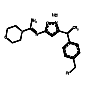 CC(C)Cc1ccc(C(C)c2cc(/N=C(\N)N3CCOCC3)on2)cc1.Cl